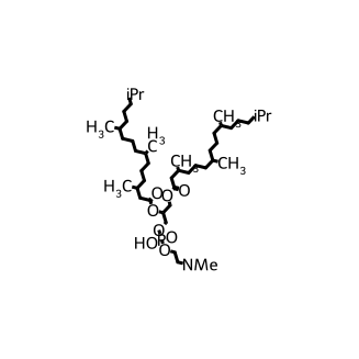 CNCCOP(=O)(O)OCC(COC(=O)CC(C)CCCC(C)CCCC(C)CCCC(C)C)OC(=O)CC(C)CCCC(C)CCCC(C)CCCC(C)C